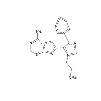 COCCn1cnc(-c2ccccc2)c1-c1cc2c(N)ncnc2s1